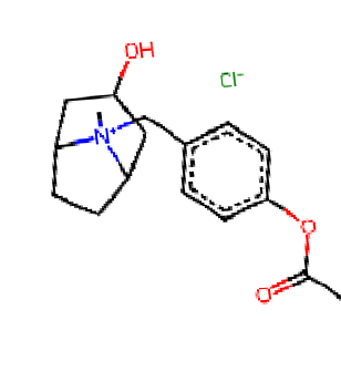 CC(=O)Oc1ccc(C[N+]2(C)C3CCC2CC(O)C3)cc1.[Cl-]